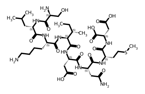 CC[C@H](C)[C@H](NC(=O)[C@H](CCCCN)NC(=O)[C@H](CC(C)C)NC(=O)[C@@H](N)CO)C(=O)N[C@@H](CC(=O)O)C(=O)N[C@@H](CC(N)=O)C(=O)N[C@@H](CCSC)C(=O)N[C@@H](CC(=O)O)C(=O)O